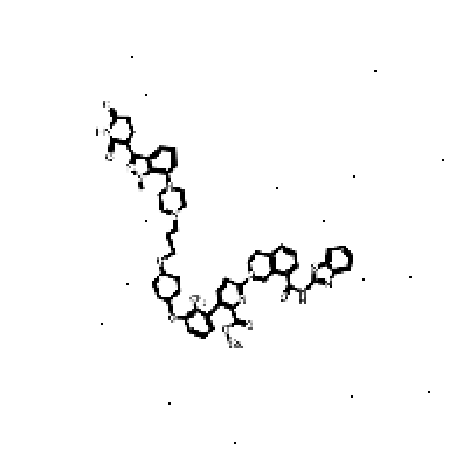 Cn1nc(C2CCC(=O)NC2=O)c2cccc(N3CCN(CCCOC4CCC(Oc5cccc(-c6ccc(N7CCc8cccc(C(=O)Nc9nc%10ccccc%10s9)c8C7)nc6C(=O)OC(C)(C)C)c5C(F)(F)F)CC4)CC3)c21